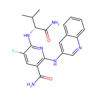 CC(C)[C@@H](Nc1nc(Nc2cnc3ccccc3c2)c(C(N)=O)cc1F)C(N)=O